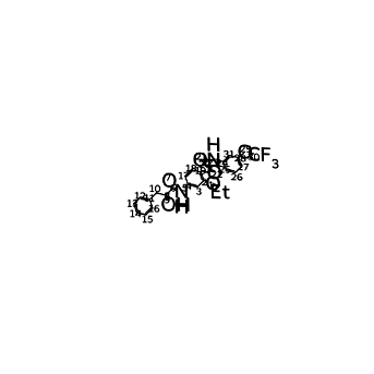 CCOc1cc(NC(=O)[C@@H](O)Cc2ccccc2)ccc1S(=O)(=O)Nc1cccc(OC(F)(F)F)c1